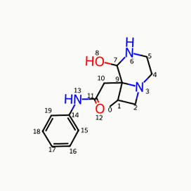 CC1CN2CCNC(O)C12CC(=O)Nc1ccccc1